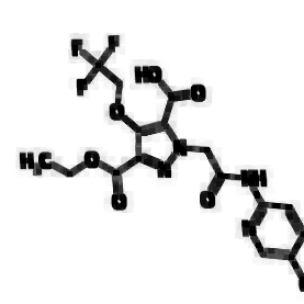 CCOC(=O)c1nn(CC(=O)Nc2ccc(Cl)cn2)c(C(=O)O)c1OCC(F)(F)F